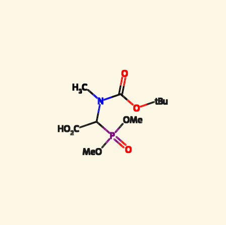 COP(=O)(OC)C(C(=O)O)N(C)C(=O)OC(C)(C)C